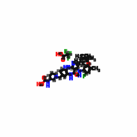 Cc1cc(F)c(Nc2ccnc3c2C(=O)Nc2cc(CN4CCC[C@H](NC(=O)O)C4)ccc2N3)cc1O[Si](C)(C)C(C)(C)C.O=C(O)C(F)(F)F